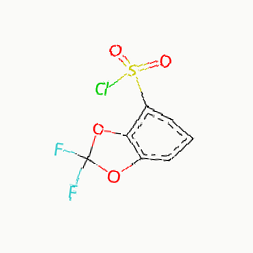 O=S(=O)(Cl)c1cccc2c1OC(F)(F)O2